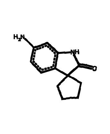 Nc1ccc2c(c1)NC(=O)C21CCCC1